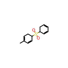 CC1=CCC(S(=O)(=O)C2C=CC=CC2)C=C1